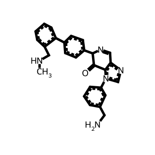 CNCc1ccccc1-c1ccc(C2N=Cc3ncn(-c4cccc(CN)c4)c3C2=O)cc1